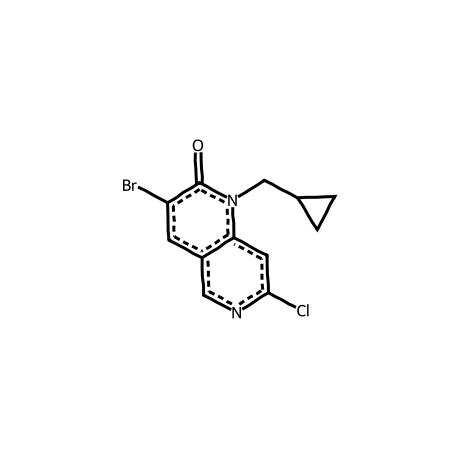 O=c1c(Br)cc2cnc(Cl)cc2n1CC1CC1